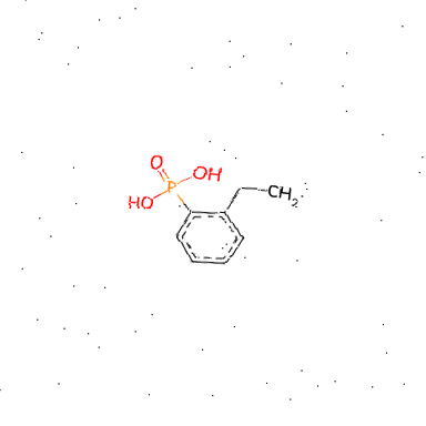 [CH2]Cc1ccccc1P(=O)(O)O